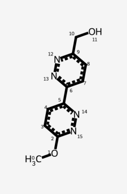 COc1ccc(-c2ccc(CO)nn2)nn1